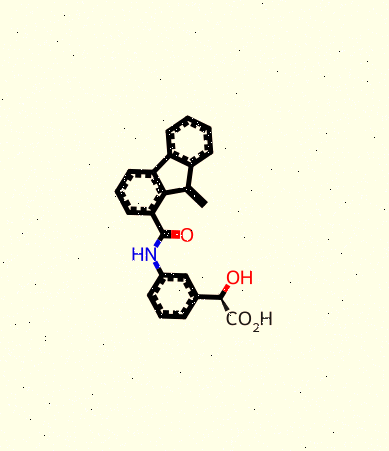 C=C1c2ccccc2-c2cccc(C(=O)Nc3cccc([C@@H](O)C(=O)O)c3)c21